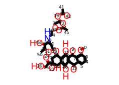 COc1cccc2c1C(=O)c1c(O)c3c(c(O)c1C2=O)C[C@@](O)(C(=O)CO)C[C@@H]3OC1CC(NCCOCC(OC(C)=O)OC(C)=O)C(O)C(C)O1